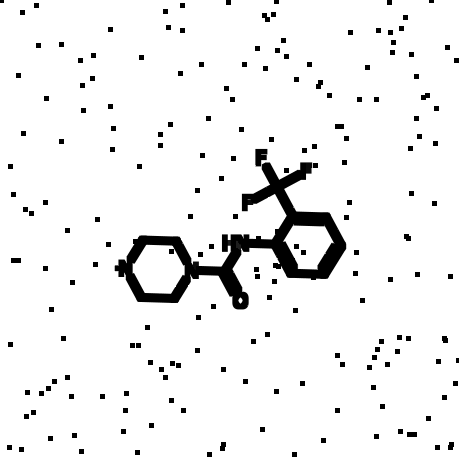 O=C(Nc1ccccc1C(F)(F)F)N1CC[N]CC1